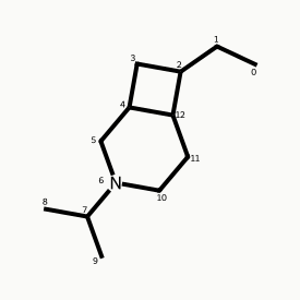 CCC1CC2CN(C(C)C)CCC12